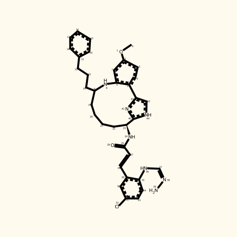 COc1ccc2c(c1)NC(CCCc1ccccc1)CCCC[C@H](NC(=O)/C=C/c1cc(Cl)ccc1N/C=N\N)c1nc-2c[nH]1